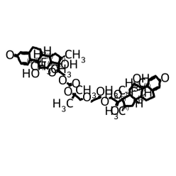 C[C@@H]1C[C@H]2[C@@H]3CCC4=CC(=O)C=C[C@]4(C)[C@@]3(F)[C@@H](O)C[C@]2(C)[C@@]1(O)C(=O)COC(=O)COCC(C)(C)OC(=O)OCC(=O)[C@@]1(O)[C@H](C)C[C@H]2[C@@H]3CCC4=CC(=O)C=C[C@]4(C)[C@@]3(F)[C@@H](O)C[C@@]21C